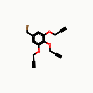 C#CCOc1cc(CBr)cc(OCC#C)c1OCC#C